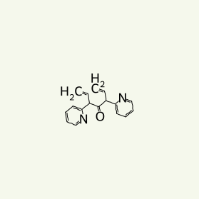 C=CC(C(=O)C(C=C)c1ccccn1)c1ccccn1